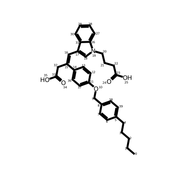 CCCCCc1ccc(COc2ccc(C(=Cc3cn(CCCC(=O)O)c4ccccc34)CC(=O)O)cc2)cc1